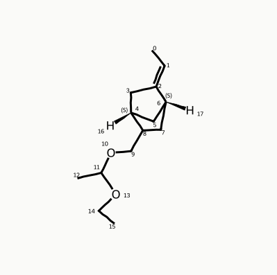 CC=C1C[C@@H]2C[C@H]1CC2COC(C)OCC